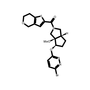 CO[C@@]12CN(C(=O)c3cc4c(s3)CCOC4)C[C@@H]1CC[C@H]2Oc1ccc(Br)nn1